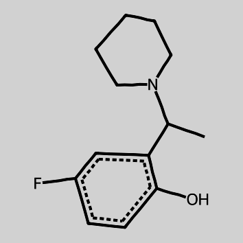 CC(c1cc(F)ccc1O)N1CCCCC1